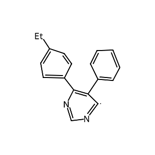 CCc1ccc(-c2ncn[c]c2-c2ccccc2)cc1